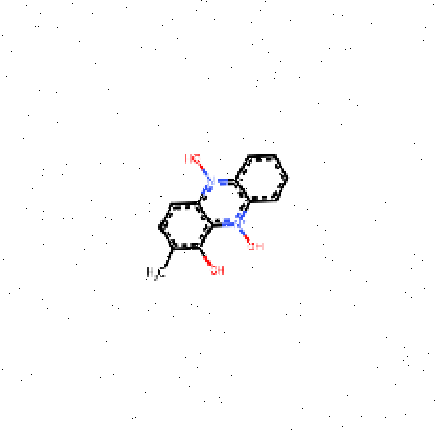 Cc1ccc2c(c1O)[n+](O)c1ccccc1[n+]2O